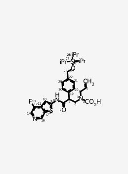 C=CCN(CC(C(=O)Nc1cc2c(F)cncc2s1)c1ccc(CO[Si](C(C)C)(C(C)C)C(C)C)cc1)C(=O)O